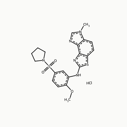 COc1ccc(S(=O)(=O)N2CCCC2)cc1Nc1nc2c(ccc3c2ncn3C)s1.Cl